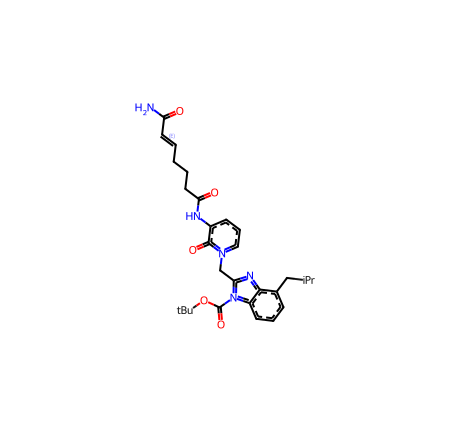 CC(C)Cc1cccc2c1nc(Cn1cccc(NC(=O)CCC/C=C/C(N)=O)c1=O)n2C(=O)OC(C)(C)C